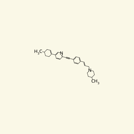 CC1CC=C(c2ccc(C#Cc3ccc(C=CCN4CCC(C)CC4)cc3)nc2)CC1